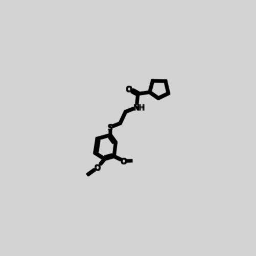 COc1ccc(SCCNC(=O)C2CCCC2)cc1OC